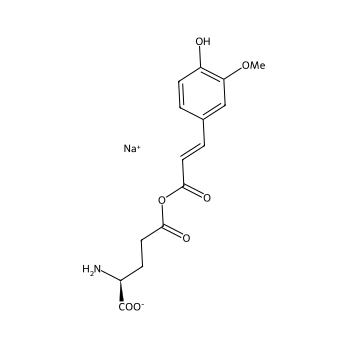 COc1cc(C=CC(=O)OC(=O)CC[C@H](N)C(=O)[O-])ccc1O.[Na+]